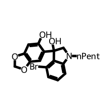 CCCCCN1CC(O)(c2cc3c(cc2O)OCO3)c2c(Br)cccc21